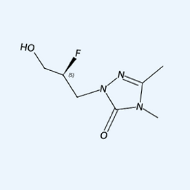 Cc1nn(C[C@H](F)CO)c(=O)n1C